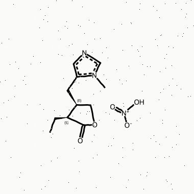 CC[C@@H]1C(=O)OC[C@@H]1Cc1cncn1C.O=[N+]([O-])O